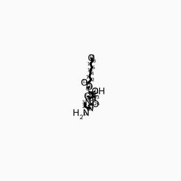 Nc1ccn([C@@H]2O[C@H](COC(=O)CCCCCCC=O)[C@@H](O)C2(F)F)c(=O)n1